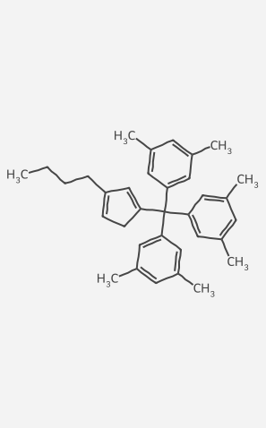 CCCCC1=CCC(C(c2cc(C)cc(C)c2)(c2cc(C)cc(C)c2)c2cc(C)cc(C)c2)=C1